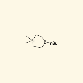 CCCCB1CC[Si](C)(C)CC1